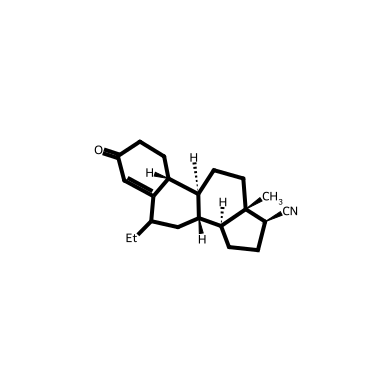 CCC1C[C@@H]2[C@H](CC[C@]3(C)[C@@H](C#N)CC[C@@H]23)[C@H]2CCC(=O)C=C12